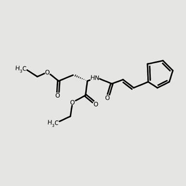 CCOC(=O)C[C@H](NC(=O)C=Cc1ccccc1)C(=O)OCC